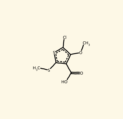 COc1c(Cl)sc(SC)c1C(=O)O